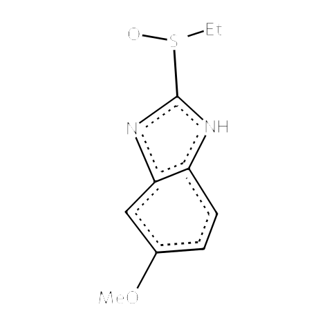 CC[S+]([O-])c1nc2cc(OC)ccc2[nH]1